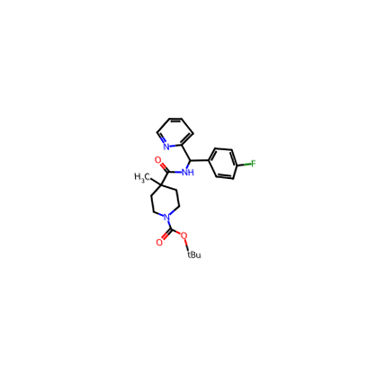 CC(C)(C)OC(=O)N1CCC(C)(C(=O)NC(c2ccc(F)cc2)c2ccccn2)CC1